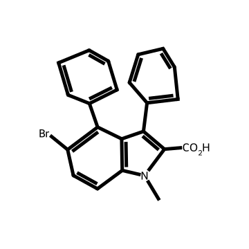 Cn1c(C(=O)O)c(-c2ccccc2)c2c(-c3ccccc3)c(Br)ccc21